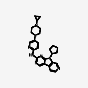 c1cc2c3cnc(Nc4ccc(N5CCN(C6CC6)CC5)cn4)nc3n(C3CCCC3)c2cn1